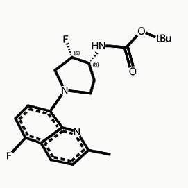 Cc1ccc2c(F)ccc(N3CC[C@@H](NC(=O)OC(C)(C)C)[C@@H](F)C3)c2n1